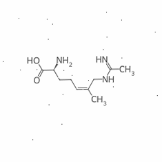 CC(=N)NC/C(C)=C\CC[C@H](N)C(=O)O